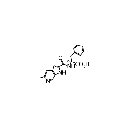 Cc1cc2cc(C(=O)N[C@@H](Cc3ccccc3)C(=O)O)[nH]c2cn1